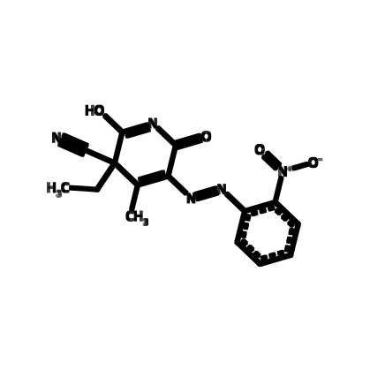 CCC1(C#N)C(O)=NC(=O)C(N=Nc2ccccc2[N+](=O)[O-])=C1C